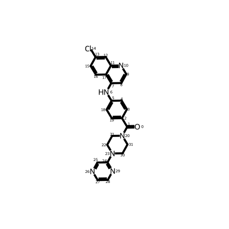 O=C(c1ccc(Nc2ccnc3cc(Cl)ccc23)cc1)N1CCN(c2cnccn2)CC1